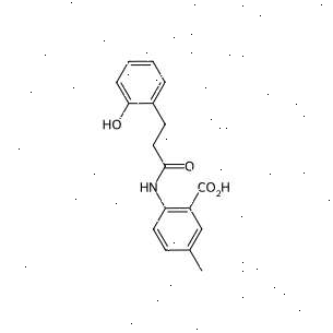 Cc1ccc(NC(=O)CCc2ccccc2O)c(C(=O)O)c1